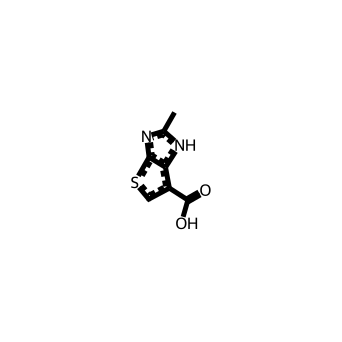 Cc1nc2scc(C(=O)O)c2[nH]1